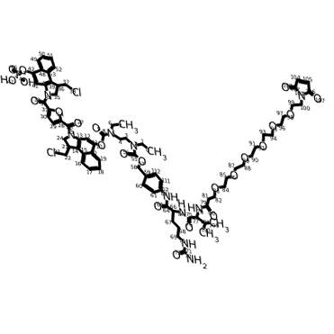 CCN(CCN(CC)C(=O)Oc1cc2c(c3ccccc13)C(CCl)CN2C(=O)c1ccc(C(=O)N2CC(CCl)c3c2cc(OP(=O)(O)O)c2ccccc32)o1)C(=O)OCc1ccc(NC(=O)C(CCCNC(N)=O)NC(=O)C(NC(=O)CCOCCOCCOCCOCCOCCOCCN2C(=O)C=CC2=O)C(C)C)cc1